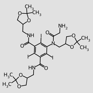 CC1(C)OCC(CNC(=O)c2c(I)c(C(=O)NCC3COC(C)(C)O3)c(I)c(N(CC3COC(C)(C)O3)C(=O)CN)c2I)O1